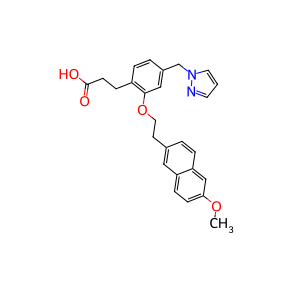 COc1ccc2cc(CCOc3cc(Cn4cccn4)ccc3CCC(=O)O)ccc2c1